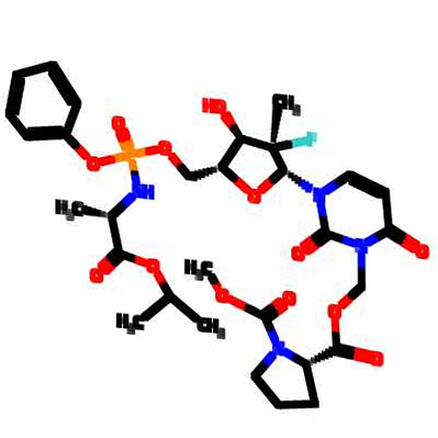 COC(=O)N1CCC[C@H]1C(=O)OCn1c(=O)ccn([C@@H]2O[C@H](COP(=O)(N[C@@H](C)C(=O)OC(C)C)Oc3ccccc3)[C@@H](O)[C@@]2(C)F)c1=O